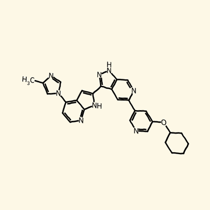 Cc1cn(-c2ccnc3[nH]c(-c4n[nH]c5cnc(-c6cncc(OC7CCCCC7)c6)cc45)cc23)cn1